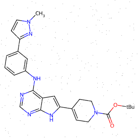 Cn1ccc(-c2cccc(Nc3ncnc4[nH]c(C5=CCN(C(=O)OC(C)(C)C)CC5)cc34)c2)n1